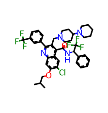 CC(C)COc1cc2nc(-c3cccc(C(F)(F)F)c3)c(CN3CCC(N4CCCCC4)CC3)c(C(=O)N[C@H](c3ccccc3)C(F)(F)F)c2cc1Cl